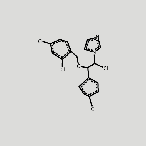 Clc1ccc(C(OCc2ccc(Cl)cc2Cl)C(Cl)n2ccnc2)cc1